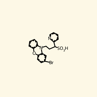 O=S(=O)(O)C(CCN1c2ccccc2Oc2ccc(Br)cc21)c1ccccn1